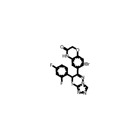 Br.O=C1COc2ccc(C3=Nn4cnnc4SC3c3ccc(F)cc3F)cc2N1